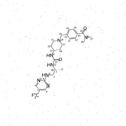 C[C@H](CNc1ncc(C(F)(F)F)cn1)NC(=O)NC1CCN(Cc2ccc(C(=O)N(C)C)cc2)CC1